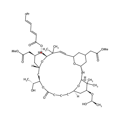 CCC/C=C/C=C/C(=O)O[C@H]1[C@H](CC(=O)OC)C[C@H]2C[C@H]([C@@H](C)O)OC(=O)CCC[C@@H]3C[C@H](O[C@@H](C)O)C(C)(C)[C@](O)(C[C@@H]4CC(CC(=O)OC)CC(/C=C/C(C)(C)[C@]1(O)O2)O4)O3